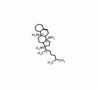 CC(C)CCC[C@@H](C)[C@@]1(N)CC[C@@]2(N)C3CC=C4CCCCC4[C@@]3(N)CCC21